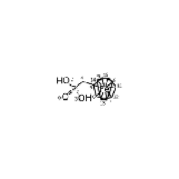 O=P(O)(O)C[C]12[CH]3[CH]4[CH]5[CH]1[Fe]45321678[CH]2[CH]1[CH]6[CH]7[CH]28